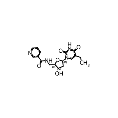 CCc1cn([C@H]2C[C@H](O)[C@@H](CNC(=O)c3cccnc3)O2)c(=O)[nH]c1=O